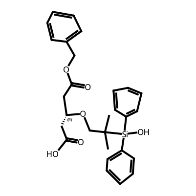 CC(C)(CO[C@H](CC(=O)O)CC(=O)OCc1ccccc1)[Si](O)(c1ccccc1)c1ccccc1